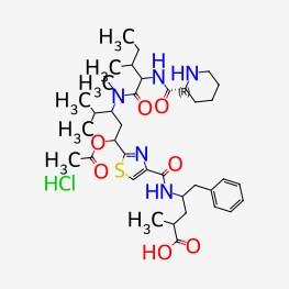 CCC(C)C(NC(=O)[C@H]1CCCCN1)C(=O)N(C)C(CC(OC(C)=O)c1nc(C(=O)NC(Cc2ccccc2)CC(C)C(=O)O)cs1)C(C)C.Cl